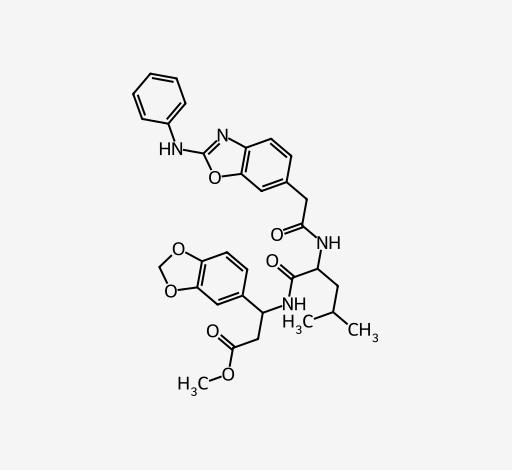 COC(=O)CC(NC(=O)C(CC(C)C)NC(=O)Cc1ccc2nc(Nc3ccccc3)oc2c1)c1ccc2c(c1)OCO2